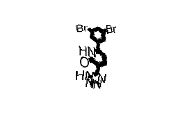 O=c1[nH]c(-c2cc(Br)cc(Br)c2)ccc1-c1nnn[nH]1